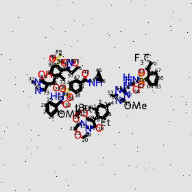 CCc1cc(C)cc(CC)c1-c1c(OC(=O)C(C)(C)C)n2n(c1=O)CCOCC2.COc1ccccc1C(=O)NS(=O)(=O)c1ccc(C(=O)NC2CC2)cc1.COc1nc(C)nc(NC(=O)NS(=O)(=O)c2ccccc2CCC(F)(F)F)n1.Cc1c(C(=O)c2cnn(C)c2O)ccc(S(C)(=O)=O)c1C1=NOCC1